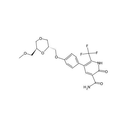 COC[C@H]1COC[C@H](COc2ccc(-c3cc(C(N)=O)c(=O)[nH]c3C(F)(F)F)cc2)O1